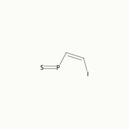 S=P/C=C\I